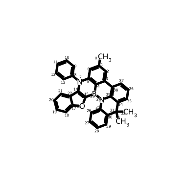 Cc1cc2c3c(c1)N(c1ccccc1)c1c(oc4ccccc14)B3N1c3ccccc3C(C)(C)c3cccc-2c31